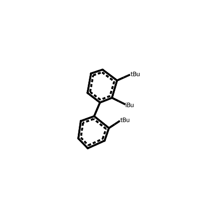 CCC(C)c1c(-c2ccccc2C(C)(C)C)cccc1C(C)(C)C